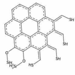 [SiH3]Oc1c(O[SiH3])c2c(=CS)c(=CS)c3c(=CS)c(=CS)c4ccc5ccc6ccc1c1c6c5c4c3c21